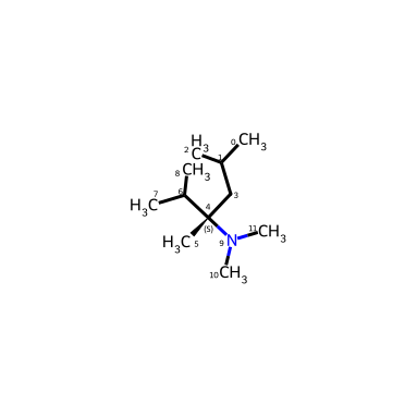 CC(C)C[C@@](C)(C(C)C)N(C)C